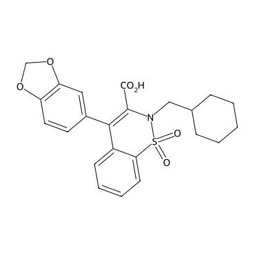 O=C(O)C1=C(c2ccc3c(c2)OCO3)c2ccccc2S(=O)(=O)N1CC1CCCCC1